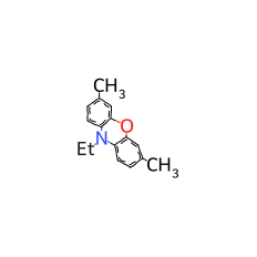 CCN1c2ccc(C)cc2Oc2cc(C)ccc21